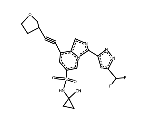 N#CC1(NS(=O)(=O)c2cc(C#CC3CCOC3)c3cnc(-c4nnc(C(F)F)s4)n3c2)CC1